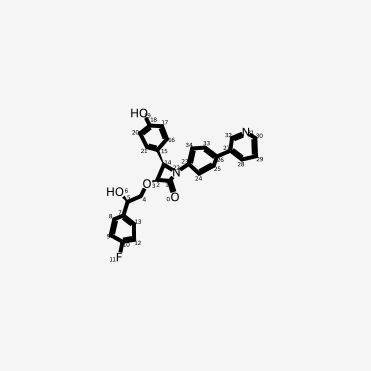 O=C1[C@H](OC[C@H](O)c2ccc(F)cc2)[C@@H](c2ccc(O)cc2)N1c1ccc(-c2cccnc2)cc1